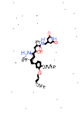 COCCCOc1cc(C[C@@H](C[C@H](N)[C@@H](O)C[C@H](C(=O)NCC2CC(=O)NC(=O)C2)C(C)C)C(C)C)ccc1OC